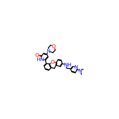 CN(C)c1ccc(CNc2ccc3c(c2)Cc2cccc(-c4cc(N5CCOCC5)cc(=O)[nH]4)c2O3)cn1